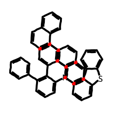 c1ccc(-c2ccccc2-c2c(-c3ccccc3)cccc2N(c2cccc(-c3cccc4ccccc34)c2)c2cccc3sc4ccccc4c23)cc1